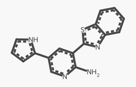 Nc1ncc(-c2ccc[nH]2)cc1-c1nc2ccccc2s1